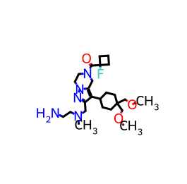 COCC1(COC)CCC(c2c(CN(C)CCN)nn3c2CN(C(=O)C2(F)CCC2)CC3)CC1